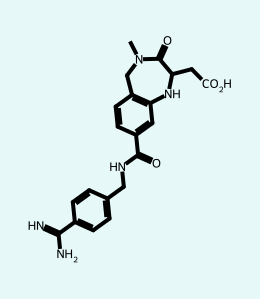 CN1Cc2ccc(C(=O)NCc3ccc(C(=N)N)cc3)cc2NC(CC(=O)O)C1=O